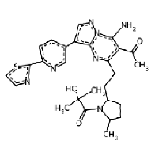 CC(=O)c1c(CCC2CCC(C)N2C(=O)C(C)(C)O)nc2c(-c3ccc(-c4nccs4)nc3)cnn2c1N